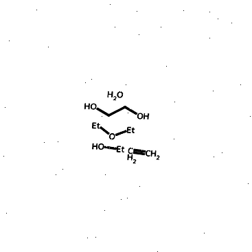 C=C.CCO.CCOCC.O.OCCO